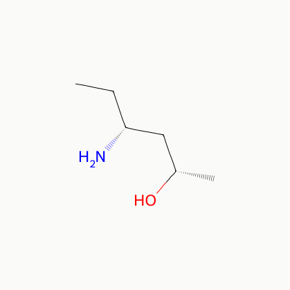 CC[C@@H](N)C[C@H](C)O